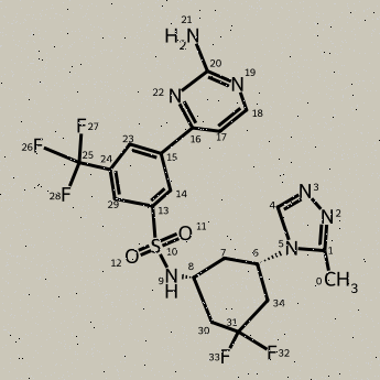 Cc1nncn1[C@H]1C[C@@H](NS(=O)(=O)c2cc(-c3ccnc(N)n3)cc(C(F)(F)F)c2)CC(F)(F)C1